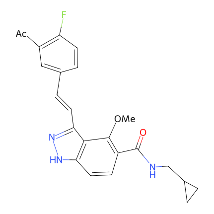 COc1c(C(=O)NCC2CC2)ccc2[nH]nc(/C=C/c3ccc(F)c(C(C)=O)c3)c12